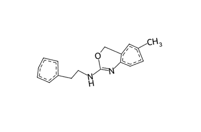 Cc1ccc2c(c1)COC(NCCc1ccccc1)=N2